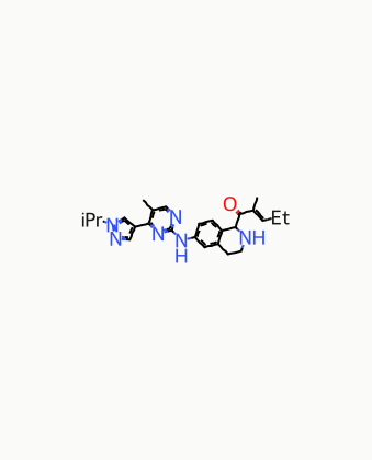 CCC=C(C)C(=O)C1NCCc2cc(Nc3ncc(C)c(-c4cnn(C(C)C)c4)n3)ccc21